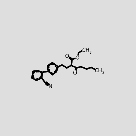 CCCCC(=O)C(CCc1ccc(-c2ccccc2C#N)cc1)C(=O)OCC